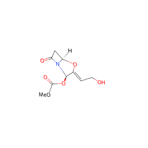 COC(=O)O[C@@H]1/C(=C/CO)O[C@@H]2CC(=O)N12